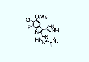 COc1cc2c(-c3cn[nH]c3)c(-c3nc(C(C)N(C)C)n[nH]3)n(C)c2c(F)c1Cl